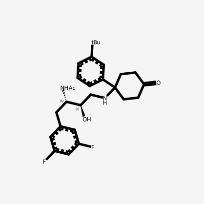 CC(=O)N[C@@H](Cc1cc(F)cc(F)c1)[C@H](O)CNC1(c2cccc(C(C)(C)C)c2)CCC(=O)CC1